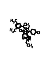 CCn1ncc2c(NC3CCC(=O)CC3)c(C(=O)NC(C)c3cc(C)cc(C)c3)cnc21